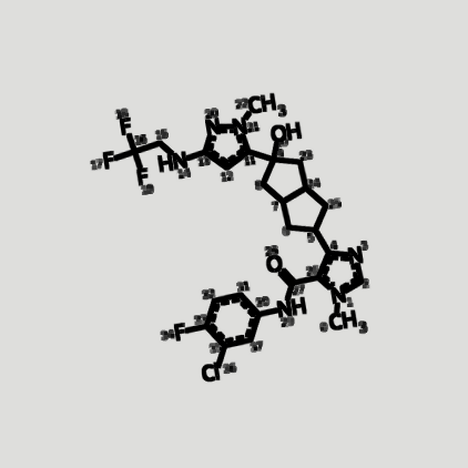 Cn1cnc(C2CC3CC(O)(c4cc(NCC(F)(F)F)nn4C)CC3C2)c1C(=O)Nc1ccc(F)c(Cl)c1